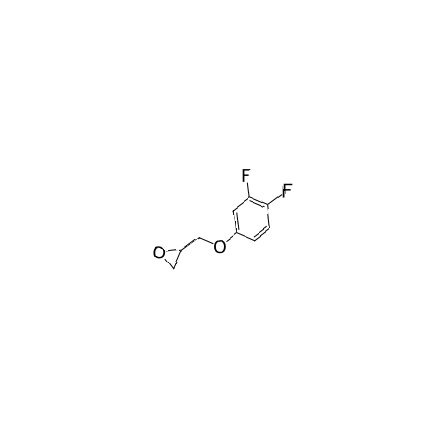 Fc1ccc(OCC2CO2)cc1F